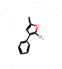 Cc1cc(-c2ccccc2)c(C(F)(F)F)o1